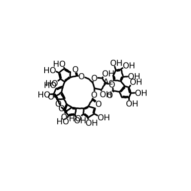 CC(=O)c1cc(O)c(O)c(O)c1-c1c(C(=O)OC2C(O)OC3COC(=O)c4cc(O)c(O)c(O)c4-c4c(O)c(O)c5oc(=O)c6c(c(O)c(O)c7oc(=O)c4c5c76)-c4c(cc(O)c(O)c4O)C(=O)OC3C2O)cc(O)c(O)c1O